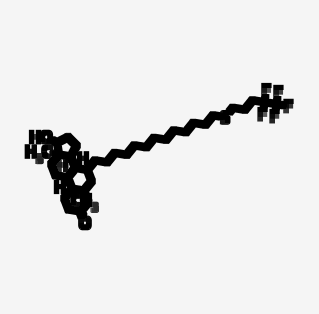 C[C@]12CCC(=O)CC1CC(CCCCCCCCCCCCCSCCCC(F)(F)C(F)(F)F)[C@@H]1[C@H]2CC[C@]2(C)C(O)CC[C@@H]12